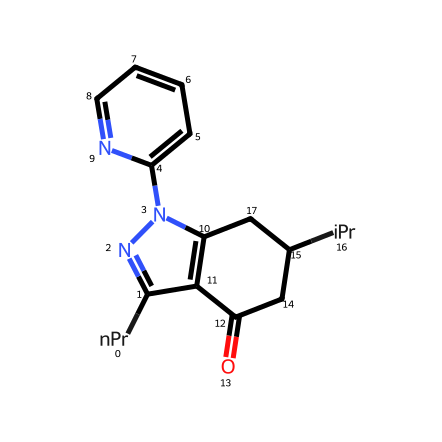 CCCc1nn(-c2ccccn2)c2c1C(=O)CC(C(C)C)C2